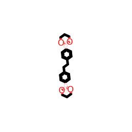 c1cc(B2OCCCO2)ccc1CCc1ccc(B2OCCCO2)cc1